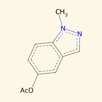 CC(=O)Oc1ccc2c(cnn2C)c1